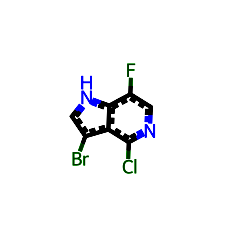 Fc1cnc(Cl)c2c(Br)c[nH]c12